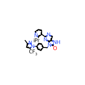 Cc1cc(C(F)(F)F)n(-c2ccc(Cn3c(=O)[nH]c4cnc(-c5cccnc5C(C)C)nc43)cc2)n1